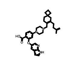 C=C(C)CCC1=C(CN2CCN(c3ccc(C(=O)O)c(Oc4cnc5[nH]ccc5c4)c3)CC2)CCC2(CCC2)C1